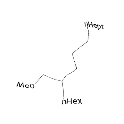 CCCCCCCCCCC(CCCCCC)COC